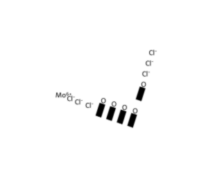 [C]=O.[C]=O.[C]=O.[C]=O.[C]=O.[Cl-].[Cl-].[Cl-].[Cl-].[Cl-].[Cl-].[Mo+6]